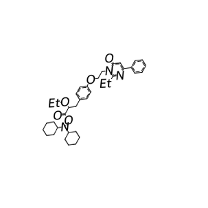 CCOC(Cc1ccc(OCCn2c(CC)nc(-c3ccccc3)cc2=O)cc1)C(=O)ON(C1CCCCC1)C1CCCCC1